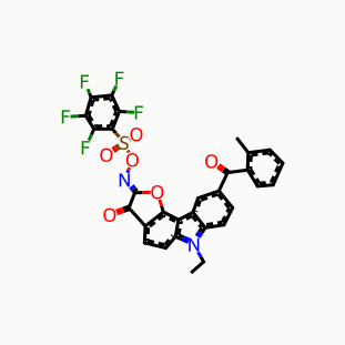 CCn1c2ccc(C(=O)c3ccccc3C)cc2c2c3c(ccc21)C(=O)/C(=N/OS(=O)(=O)c1c(F)c(F)c(F)c(F)c1F)O3